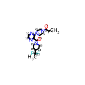 C=CC(=O)N1CCN(c2nccnc2C(=O)N2CCC(C(C)(F)F)CC2)CC1